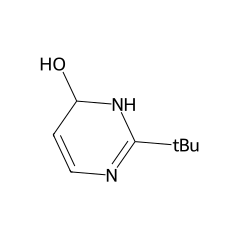 CC(C)(C)C1=NC=CC(O)N1